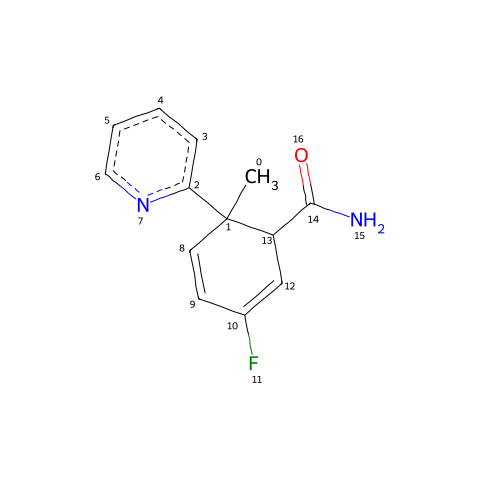 CC1(c2ccccn2)C=CC(F)=CC1C(N)=O